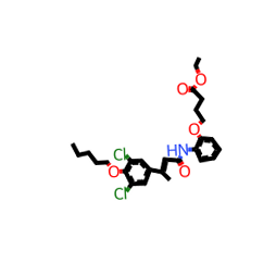 CCCCCOc1c(Cl)cc(C(C)=CC(=O)Nc2ccccc2OCCCC(=O)OCC)cc1Cl